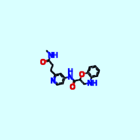 CNC(=O)CCc1cc(NC(=O)C2CNc3ccccc3O2)ccn1